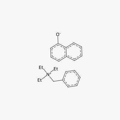 CC[N+](CC)(CC)Cc1ccccc1.[O-]c1cccc2ccccc12